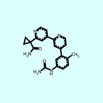 Cc1ccc(NC(N)=O)cc1-c1ccnc(-c2ccnc(C3(C(N)=O)CC3)c2)c1